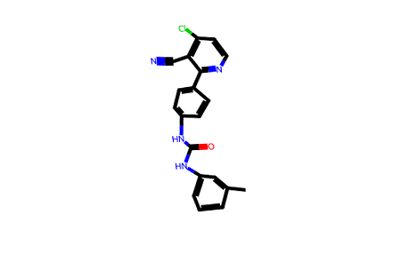 Cc1cccc(NC(=O)Nc2ccc(-c3nccc(Cl)c3C#N)cc2)c1